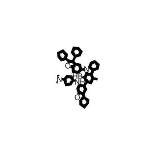 Cc1cc(-c2cc3c(cc2Nc2ccc(N(C)C)cc2)oc2ccccc23)c2c3c1c1ccccc1n3-c1cc3c(-c4ccccc4)c(-c4ccccc4)oc3cc1B2